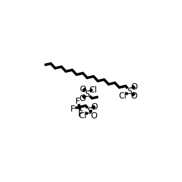 CCCCCCCCCCCCCCCCS(=O)(=O)Cl.CCS(=O)(=O)Cl.O=S(=O)(Cl)CC(F)(F)F